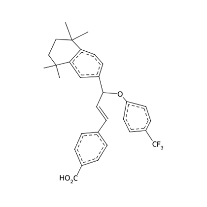 CC1(C)CCC(C)(C)c2cc(C(C=Cc3ccc(C(=O)O)cc3)Oc3ccc(C(F)(F)F)cc3)ccc21